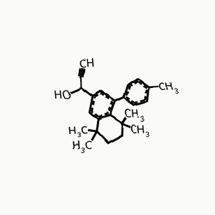 C#CC(O)c1cc(-c2ccc(C)cc2)c2c(c1)C(C)(C)CCC2(C)C